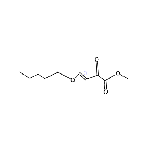 CCCCCO/C=C/C(=O)C(=O)OC